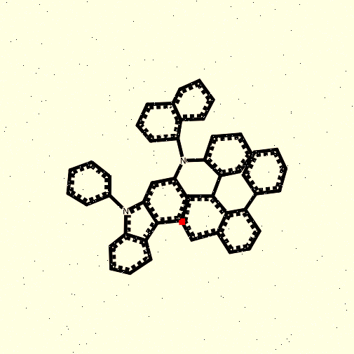 c1ccc(-c2cccc3cccc(-c4ccccc4N(c4ccc5c6ccccc6n(-c6ccccc6)c5c4)c4cccc5ccccc45)c23)cc1